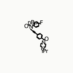 CCCCC(=O)N(CC#Cc1ccc(C(=O)N2CCN(C(C)C)CC2)cc1)c1ccc(F)cc1